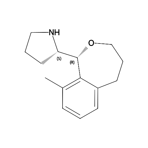 Cc1cccc2c1[C@H]([C@@H]1CCCN1)OCCC2